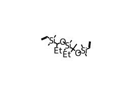 C=C[Si](C)(C)OC(C)(CC)[Si](C)(C)OC(CC)[Si](C)(C)C=C